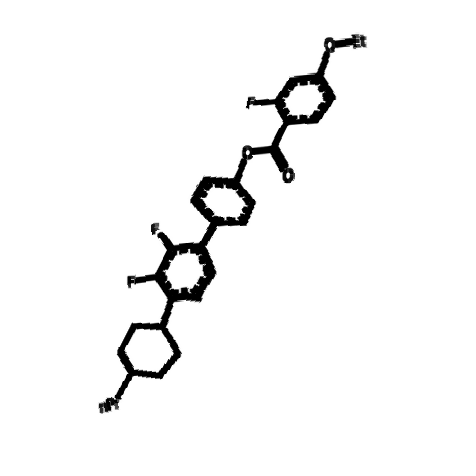 CCCC1CCC(c2ccc(-c3ccc(OC(=O)c4ccc(OCC)cc4F)cc3)c(F)c2F)CC1